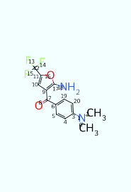 CN(C)c1ccc(C(=O)c2cc(C(F)(F)F)oc2N)cc1